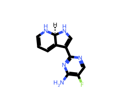 Nc1nc(C2=CN[C@@H]3NC=CC=C23)ncc1F